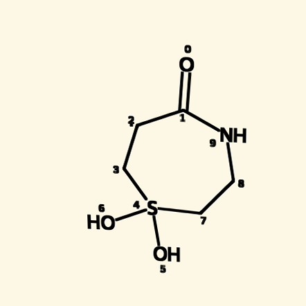 O=C1[CH]CS(O)(O)CCN1